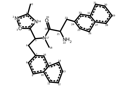 Cc1noc(C(Cc2ccc3ccccc3c2)N(C)C(=O)C(N)Cc2ccc3ccccc3c2)n1